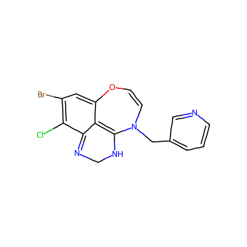 Clc1c(Br)cc2c3c1=NCNC=3N(Cc1cccnc1)C=CO2